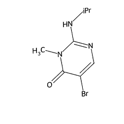 CC(C)Nc1ncc(Br)c(=O)n1C